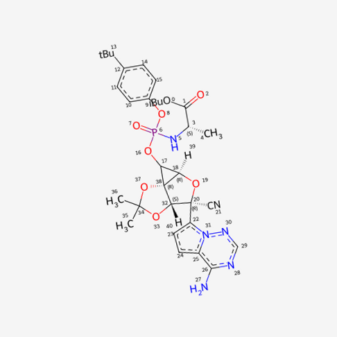 CC(C)COC(=O)[C@H](C)NP(=O)(Oc1ccc(C(C)(C)C)cc1)OC1[C@H]2O[C@@](C#N)(c3ccc4c(N)ncnn34)[C@@H]3OC(C)(C)O[C@]123